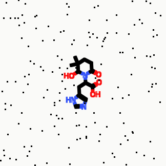 CC1(C)CCC(=O)N(C(Cc2cnc[nH]2)C(=O)O)C1O